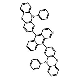 c1ccc(N2c3ccccc3Sc3ccc(-c4c5ccccc5c(-c5ccc6c(c5)N(c5ccccc5)c5ccccc5S6)c5cnccc45)cc32)cc1